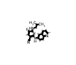 CC(C)CNc1nc(Nc2ccc3ncccc3c2)c(C#N)cc1F